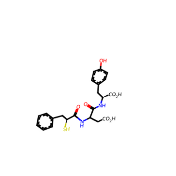 O=C(O)CC(NC(=O)[C@@H](S)Cc1ccccc1)C(=O)N[C@@H](Cc1ccc(O)cc1)C(=O)O